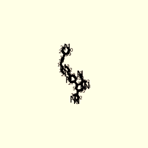 Cn1cc(-c2cc(-c3ccc(N4CCN(CC#Cc5ccncc5)CC4)nc3)c3c(C#N)cnn3c2)cn1